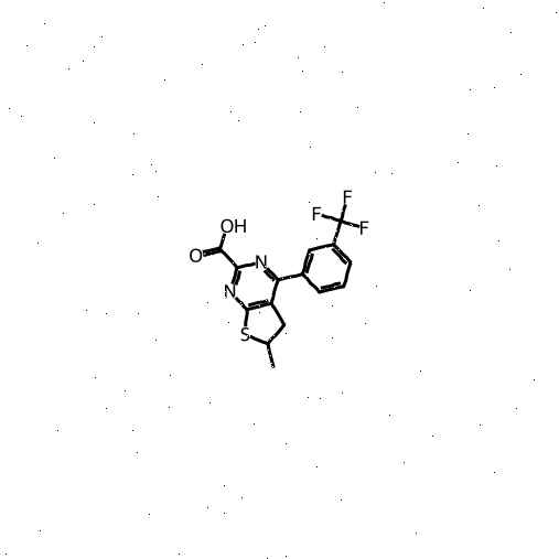 CC1Cc2c(nc(C(=O)O)nc2-c2cccc(C(F)(F)F)c2)S1